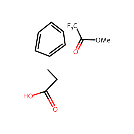 CCC(=O)O.COC(=O)C(F)(F)F.c1ccccc1